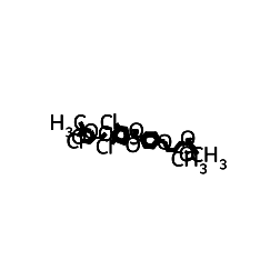 CCS(=O)(=O)C[C@@H](C)COc1ccc(S(=O)(=O)c2cc(Cl)c(OC[C@@H](CCl)OC(C)=O)c(Cl)c2)cc1